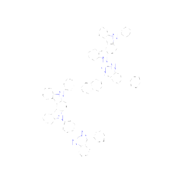 c1ccc(-c2ccc3c(-c4ccc5ccc(-c6cccc(-n7c8ccccc8c8c9c%10ccccc%10n(-c%10ccc(-c%11nc(-c%12ccccc%12)c%12ccccc%12n%11)cc%10)c9ccc87)c6)cc5c4)nc(-n4c5ccccc5c5c6c7ccccc7n(-c7ccccc7)c6ccc54)nc3c2)cc1